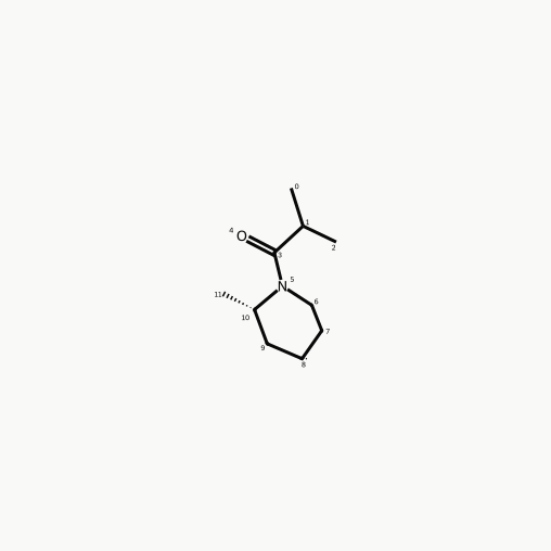 CC(C)C(=O)N1CC[CH]C[C@@H]1C